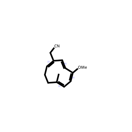 COC1=C/C=C(\C)CC/C=C(CC#N)\C=C\1